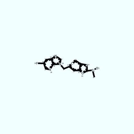 C[S+]([O-])c1nc2ccc(Cn3cnc4cc(F)cnc43)cc2o1